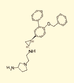 NC1CCN(CCN[C@@H]2C[C@H]2c2ccc(OCc3ccccc3)c(-c3ccccc3)c2)C1